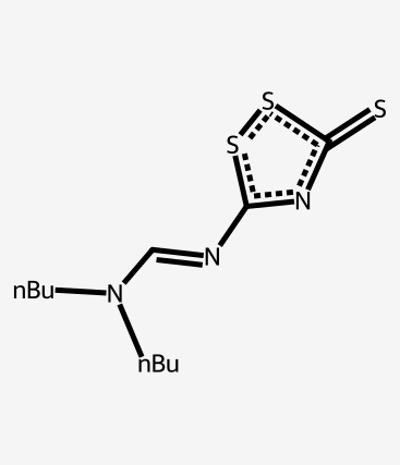 CCCCN(C=Nc1nc(=S)ss1)CCCC